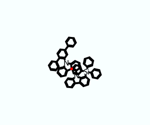 c1ccc(-c2ccc(-c3ccccc3)c(-n3c4ccccc4c4c(-n5c6ccccc6c6cccc([Si](c7ccccc7)(c7ccccc7)c7ccccc7)c65)cccc43)c2)cc1